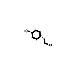 N[C@H]1CC[C@H](CCO)CC1